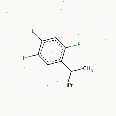 CC(C)C(C)c1cc(F)c(I)cc1F